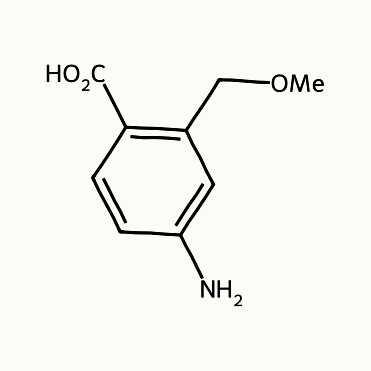 COCc1cc(N)ccc1C(=O)O